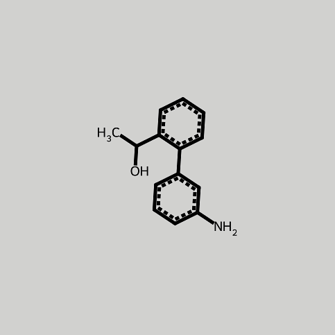 CC(O)c1ccccc1-c1cccc(N)c1